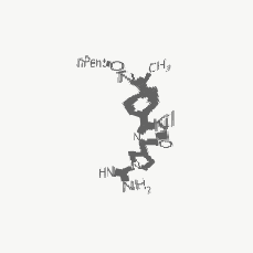 CCCCCON=C(C)c1ccc(-c2noc(C3CCN(C(=N)N)C3)n2)cc1.Cl